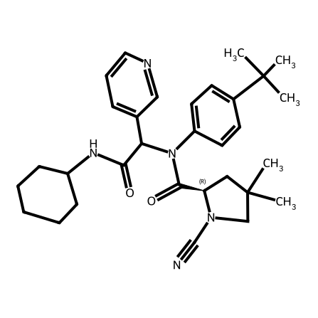 CC1(C)C[C@H](C(=O)N(c2ccc(C(C)(C)C)cc2)C(C(=O)NC2CCCCC2)c2cccnc2)N(C#N)C1